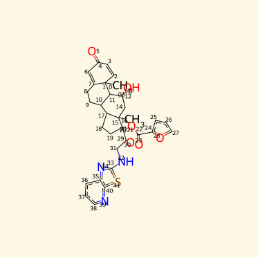 CC12C=CC(=O)C=C1CCC1C2[C@@H](O)CC2(C)C1CC[C@]2(OC(=O)c1ccco1)C(=O)CNc1nc2cccnc2s1